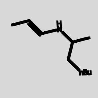 C/C=C/NC(C)CCCCC